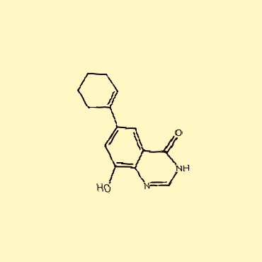 O=c1[nH]cnc2c(O)cc(C3=CCCCC3)cc12